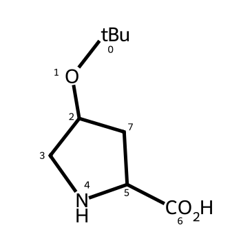 CC(C)(C)OC1CNC(C(=O)O)C1